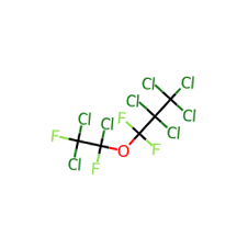 FC(Cl)(Cl)C(F)(Cl)OC(F)(F)C(Cl)(Cl)C(Cl)(Cl)Cl